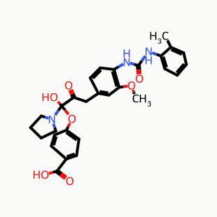 COc1cc(CC(=O)C(O)(Oc2ccc(C(=O)O)cc2)N2CCCC2)ccc1NC(=O)Nc1ccccc1C